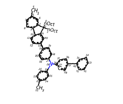 CCCCCCCCC1(CCCCCCCC)c2cc(C)ccc2-c2ccc(-c3ccc(N(c4ccc(C)cc4)c4ccc(-c5ccccc5)cc4)cc3)cc21